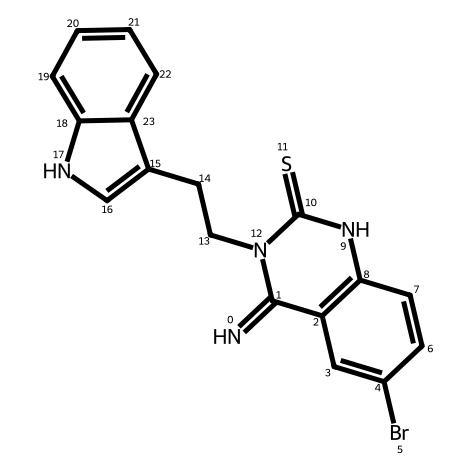 N=c1c2cc(Br)ccc2[nH]c(=S)n1CCc1c[nH]c2ccccc12